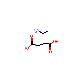 CCN.O=C(O)CCC(=O)O